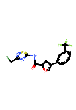 O=C(Nc1nc(CCl)ns1)c1cc(-c2cccc(C(F)(F)F)c2)co1